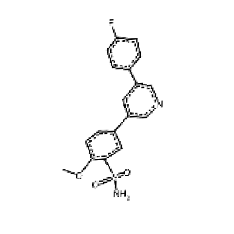 COc1ccc(-c2cncc(-c3ccc(F)cc3)c2)cc1S(N)(=O)=O